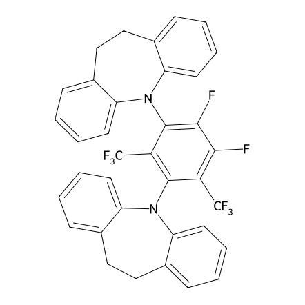 Fc1c(F)c(C(F)(F)F)c(N2c3ccccc3CCc3ccccc32)c(C(F)(F)F)c1N1c2ccccc2CCc2ccccc21